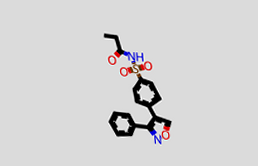 CCC(=O)NS(=O)(=O)c1ccc(-c2conc2-c2ccccc2)cc1